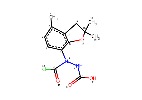 Cc1ccc(N(NC(=O)O)C(=O)Cl)c2c1CC(C)(C)O2